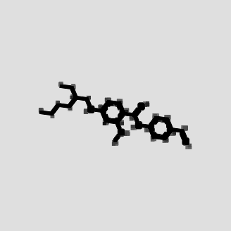 CCCCC(CC)COc1ccc(C(=O)Oc2ccc(C=O)cc2)c(OC)c1